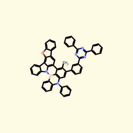 Cc1c(-c2cccc(-c3nc(-c4ccccc4)nc(-c4ccccc4)n3)c2)cc2c3c1-c1cc4c5ccccc5oc4c4c5ccccc5n(c14)B3c1ccccc1N2c1ccccc1